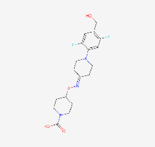 O=C(O)N1CCC(ON=C2CCN(c3cc(F)c(CO)cc3F)CC2)CC1